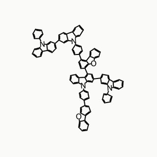 c1ccc(-n2c3ccccc3c3ccc(-c4ccc5c6ccccc6n(-c6ccc(-c7ccc(-c8cc(-c9ccc%10c%11ccccc%11n(-c%11ccccc%11)c%10c9)cc9c8c8ccccc8n9-c8ccc(-c9ccc%10c(c9)oc9ccccc9%10)cc8)c8oc9ccccc9c78)cc6)c5c4)cc32)cc1